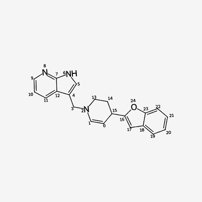 C1=CN(Cc2c[nH]c3ncccc23)CCC1c1cc2ccccc2o1